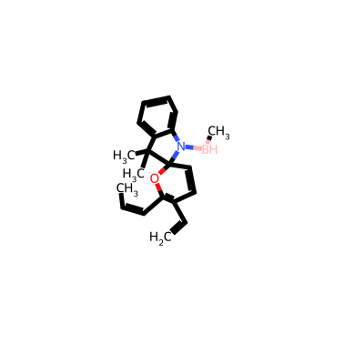 C=CC1=C(/C=C\C)OC2(C=C1)N(BC)c1ccccc1C2(C)C